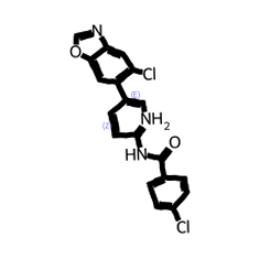 C=C(/C=C\C(=C/N)c1cc2ocnc2cc1Cl)NC(=O)c1ccc(Cl)cc1